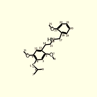 COc1cc(SC(C)C)c(OC)cc1CCNCc1ccccc1OC